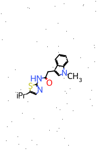 CC(C)c1cnc(NC(=O)Cc2cn(C)c3ccccc23)s1